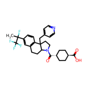 CC(F)(c1ccc2c(c1)CCC1N(C(=O)[C@H]3CC[C@H](C(=O)O)CC3)CCC21Cc1ccncc1)C(F)(F)F